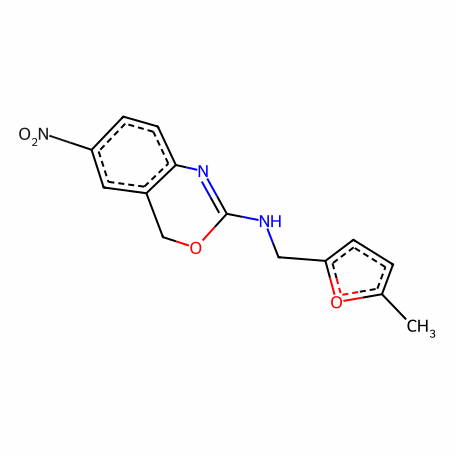 Cc1ccc(CNC2=Nc3ccc([N+](=O)[O-])cc3CO2)o1